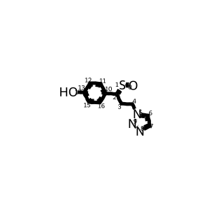 O=S=C(CCn1ccnn1)c1ccc(O)cc1